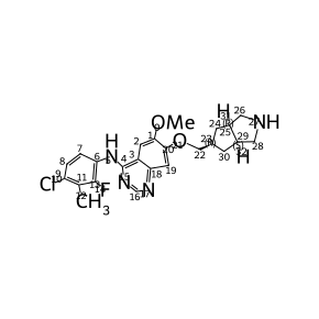 COc1cc2c(Nc3ccc(Cl)c(C)c3F)ncnc2cc1OC[C@H]1C[C@H]2CNC[C@H]2C1